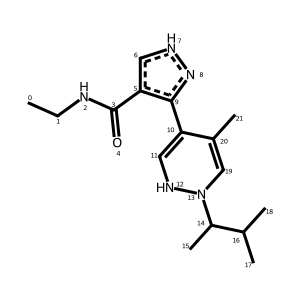 CCNC(=O)c1c[nH]nc1C1=CNN(C(C)C(C)C)C=C1C